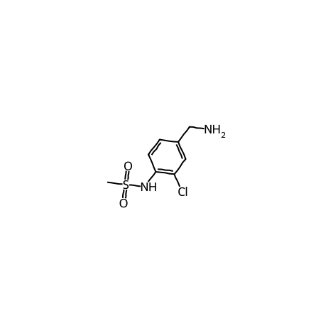 CS(=O)(=O)Nc1ccc(CN)cc1Cl